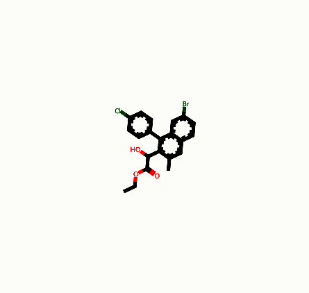 CCOC(=O)C(O)c1c(C)cc2ccc(Br)cc2c1-c1ccc(Cl)cc1